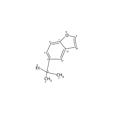 CCC(C)(C)c1ccc2occc2c1